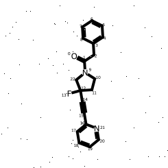 O=C(Cc1ccccc1)N1CCC(F)(C#Cc2ccccn2)C1